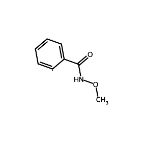 CONC(=O)c1[c]cccc1